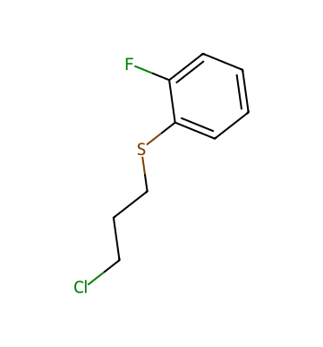 Fc1ccccc1SCCCCl